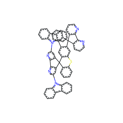 c1ccc2c(c1)Sc1cc3c(cc1C21c2cc(-n4c5ccccc5c5ccccc54)cnc2-c2ncc(-n4c5ccccc5c5ccccc54)cc21)-c1ccccc1C31c2cccnc2-c2ncccc21